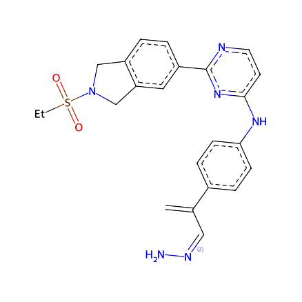 C=C(/C=N\N)c1ccc(Nc2ccnc(-c3ccc4c(c3)CN(S(=O)(=O)CC)C4)n2)cc1